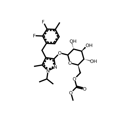 COC(=O)OC[C@H]1OC(Oc2nn(C(C)C)c(C)c2Cc2ccc(C)c(F)c2F)[C@H](O)[C@@H](O)[C@@H]1O